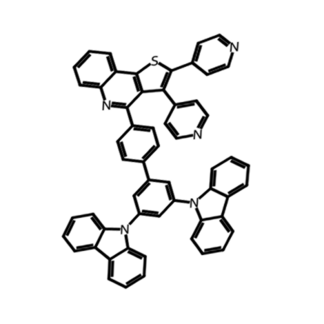 c1ccc2c(c1)nc(-c1ccc(-c3cc(-n4c5ccccc5c5ccccc54)cc(-n4c5ccccc5c5ccccc54)c3)cc1)c1c(-c3ccncc3)c(-c3ccncc3)sc12